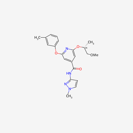 COC[C@@H](C)Oc1cc(C(=O)Nc2ccn(C)n2)cc(Oc2cccc(C)c2)n1